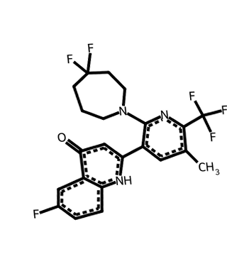 Cc1cc(-c2cc(=O)c3cc(F)ccc3[nH]2)c(N2CCCC(F)(F)CC2)nc1C(F)(F)F